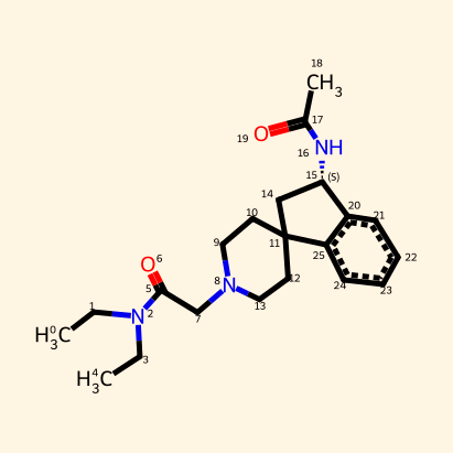 CCN(CC)C(=O)CN1CCC2(CC1)C[C@H](NC(C)=O)c1ccccc12